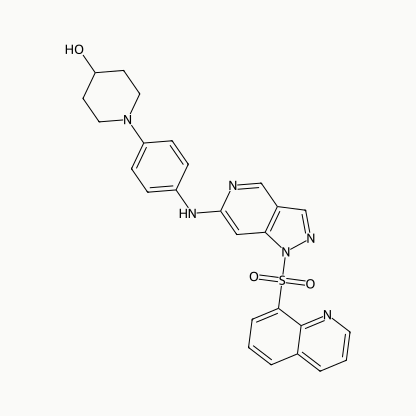 O=S(=O)(c1cccc2cccnc12)n1ncc2cnc(Nc3ccc(N4CCC(O)CC4)cc3)cc21